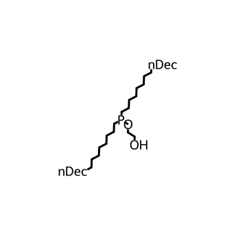 CCCCCCCCCCCCCCCCCCP(CCCCCCCCCCCCCCCCCC)OCCO